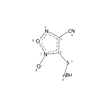 CCCCSc1c(C#N)no[n+]1[O-]